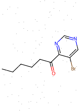 CCCCCC(=O)c1ncncc1Br